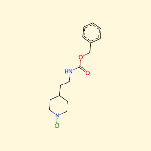 O=C(NCCC1CCN(Cl)CC1)OCc1ccccc1